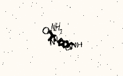 NC(=O)c1cnn(C2=CC3=CC4(CNCO4)CC3=C2)c1